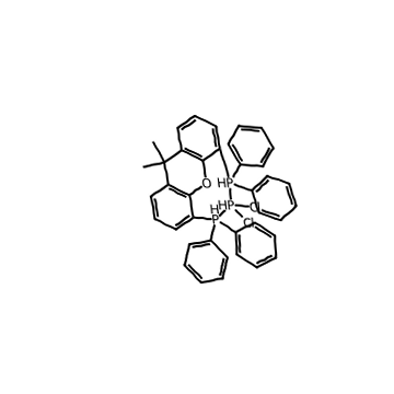 CC1(C)c2cccc3c2Oc2c1cccc2[PH](c1ccccc1)(c1ccccc1)[PH](Cl)(Cl)[PH]3(c1ccccc1)c1ccccc1